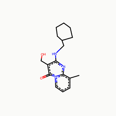 Cc1cccn2c(=O)c(CO)c(NCC3CCCCC3)nc12